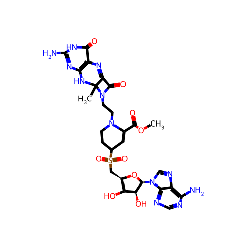 COC(=O)C1CC(S(=O)(=O)C[C@H]2O[C@@H](n3cnc4c(N)ncnc43)[C@@H](O)C2O)CCN1CCN1C(=O)C2=Nc3c(nc(N)[nH]c3=O)NC21C